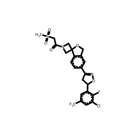 CS(=O)(=O)CC(=O)N1CC2(C1)OCc1cc(C3=NOC(c4cc(C(F)(F)F)cc(Cl)c4F)C3)ccc12